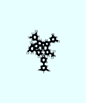 Cc1cc(C)cc(-c2ccc(N3c4ccc(-c5cc(C)cc(C)c5)cc4B4c5c(cc(C(C)(C)C)cc53)-c3cc(-c5cc(C)cc(C)c5)cc5c6cc(-c7cc(C)cc(C)c7)c7ccccc7c6n4c35)cc2)c1